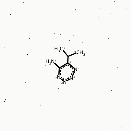 CC(C)c1nnnnc1N